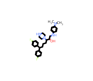 CN(C)c1ccc(NCC(O)C(CCCC(c2ccc(F)cc2)c2ccc(F)cc2)N2CCNCC2)cc1